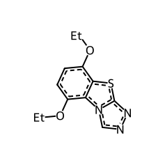 CCOc1ccc(OCC)c2c1sc1nncn12